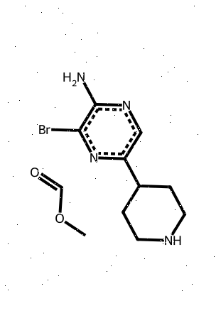 COC=O.Nc1ncc(C2CCNCC2)nc1Br